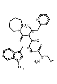 CC(C)C[C@H](N)C(=O)N[C@H](Cc1cn(C)c2ccccc12)C(=O)N(C(=O)N1CCCCCC1)[C@H](Cc1ccccn1)C(=O)O